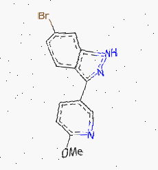 COc1ccc(-c2n[nH]c3cc(Br)ccc23)cn1